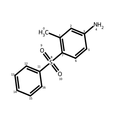 Cc1cc(N)ccc1S(=O)(=O)c1ccccc1